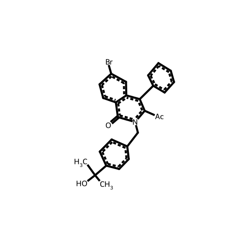 CC(=O)c1c(-c2ccccc2)c2cc(Br)ccc2c(=O)n1Cc1ccc(C(C)(C)O)cc1